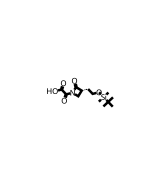 CC(C)(C)[Si](C)(C)OCC[C@@H]1CN(C(=O)C(=O)O)C1=O